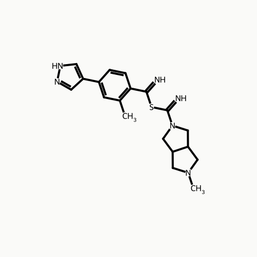 Cc1cc(-c2cn[nH]c2)ccc1C(=N)SC(=N)N1CC2CN(C)CC2C1